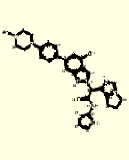 CC(=O)N1CCN(c2ccc(-c3cc(Cl)c4cn(C(C(=O)Nc5nccs5)c5ncn6c5CCC6)nc4c3)cc2)CC1